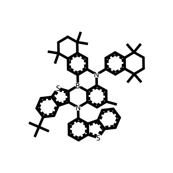 Cc1cc2c3c(c1)N(c1cccc4sc5ccccc5c14)c1c(sc4ccc(C(C)(C)C)cc14)B3c1cc3c(cc1N2c1ccc2c(c1)C(C)(C)CCC2(C)C)C(C)(C)CCC3(C)C